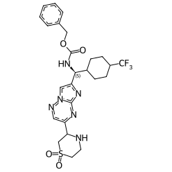 O=C(N[C@H](c1cn2ncc(C3CS(=O)(=O)CCN3)nc2n1)C1CCC(C(F)(F)F)CC1)OCc1ccccc1